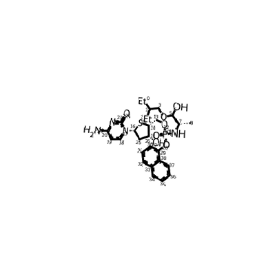 CCC(CC)COC(O)[C@H](C)NP(=O)(OC[C@H]1S[C@@H](n2ccc(N)nc2=O)C[C@H]1O)Oc1cccc2ccccc12